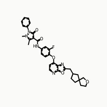 Cc1c(C(=O)Nc2ccc(Oc3ccnc4oc(CC5CCC6(CCOC6)C5)nc34)c(F)c2)c(=O)n(-c2ccccc2)n1C